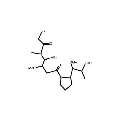 CC[C@H](C)C(C(CC(=O)N1CCCC1C(OC)C(C)C=O)OC)N(C)C(=O)CC(C)C